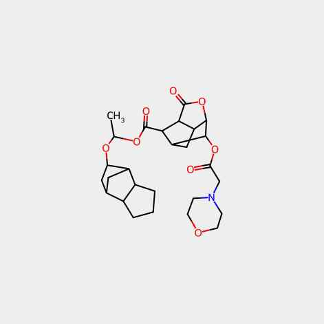 CC(OC(=O)C1C2CC3C(OC(=O)C31)C2OC(=O)CN1CCOCC1)OC1CC2CC1C1CCCC21